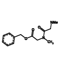 CNCC(=O)N(C)CC(=O)OCc1ccccc1